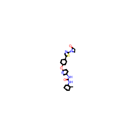 Cc1ccccc1NC(=O)Nc1ccc(Oc2ccc(-c3cnc(N4CCC4=O)s3)cc2)nc1